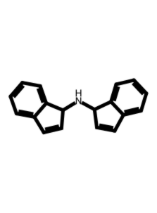 C1=CC(NC2C=Cc3ccccc32)c2ccccc21